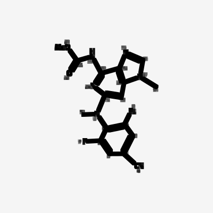 CCc1cc(C#N)cc(F)c1N(C)c1cc2c(ncn2C)c(NC(=O)OC)n1